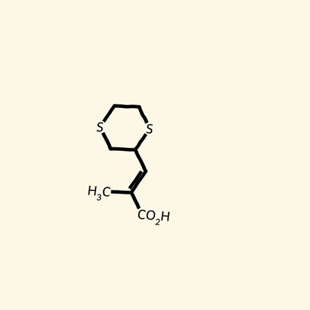 CC(=CC1CSCCS1)C(=O)O